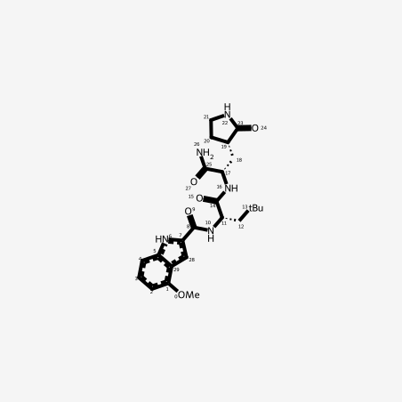 COc1cccc2[nH]c(C(=O)N[C@@H](CC(C)(C)C)C(=O)N[C@@H](C[C@@H]3CCNC3=O)C(N)=O)cc12